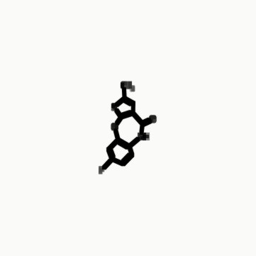 Cc1cc2c(s1)Oc1cc(F)ccc1NC2=O